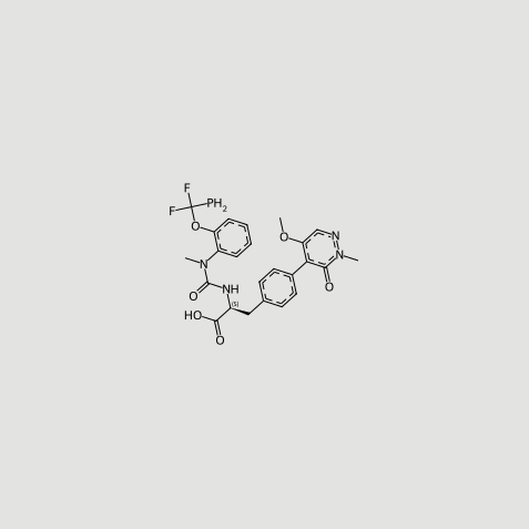 COc1cnn(C)c(=O)c1-c1ccc(C[C@H](NC(=O)N(C)c2ccccc2OC(F)(F)P)C(=O)O)cc1